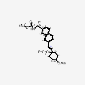 CCOC(=O)C1(/C=C/c2ccc3ccc([C@@H](C)NC(=O)OC(C)(C)C)cc3c2)CCC(OC)CC1